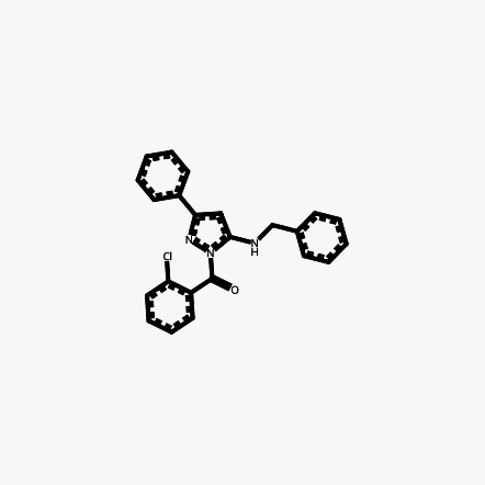 O=C(c1ccccc1Cl)n1nc(-c2ccccc2)cc1NCc1ccccc1